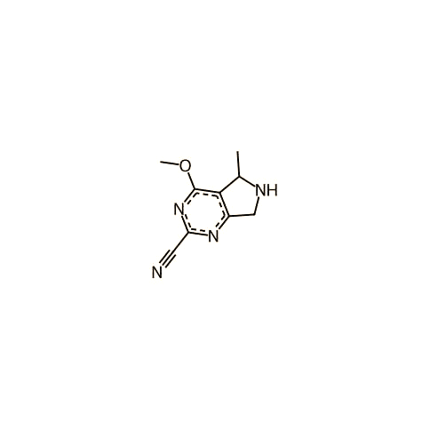 COc1nc(C#N)nc2c1C(C)NC2